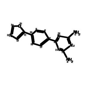 Nc1nc(N)nc(-c2ccc(-c3cnco3)cc2)n1